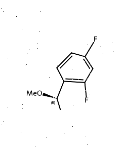 CO[C@H](C)c1ccc(F)cc1F